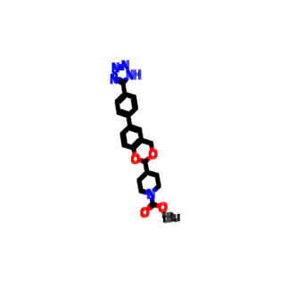 CC(C)(C)OC(=O)N1CCC(C2OCc3cc(-c4ccc(-c5nnn[nH]5)cc4)ccc3O2)CC1